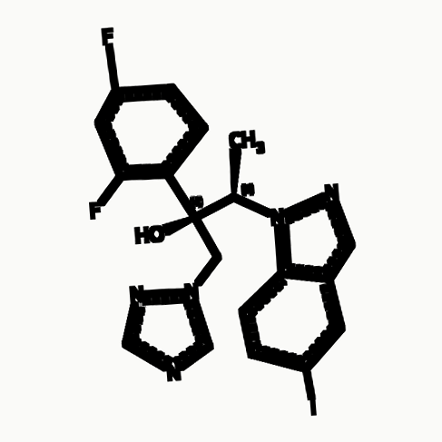 C[C@@H](n1ncc2cc(I)ccc21)[C@](O)(Cn1cncn1)c1ccc(F)cc1F